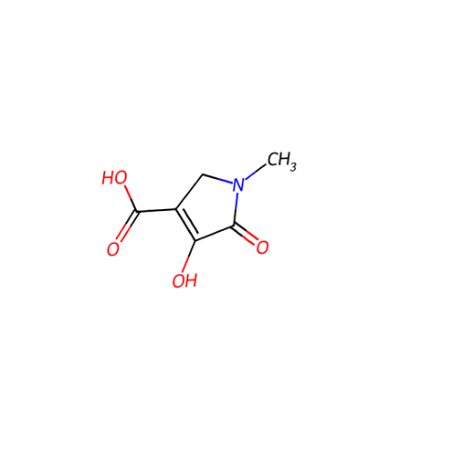 CN1CC(C(=O)O)=C(O)C1=O